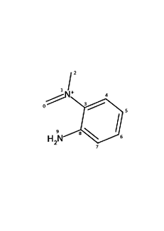 C=[N+](C)c1ccccc1N